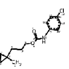 CC1(CCCOC(=O)Nc2ccc(Cl)cc2)CC1